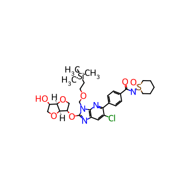 C[Si](C)(C)CCOCn1c(O[C@@H]2CO[C@H]3[C@@H]2OC[C@H]3O)nc2cc(Cl)c(-c3ccc(C(=O)N=S4(=O)CCCCC4)cc3)nc21